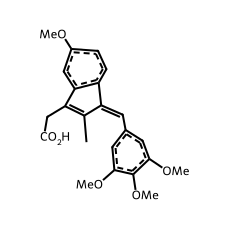 COc1ccc2c(c1)C(CC(=O)O)=C(C)C2=Cc1cc(OC)c(OC)c(OC)c1